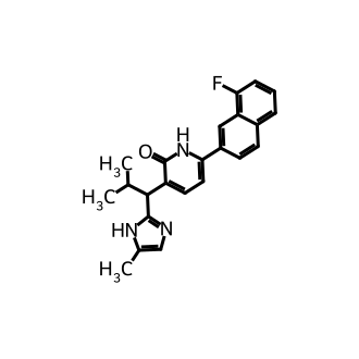 Cc1cnc(C(c2ccc(-c3ccc4cccc(F)c4c3)[nH]c2=O)C(C)C)[nH]1